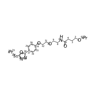 CC(C)OCCCC(=O)NCCOCCOc1ccc(-c2nnc(SC(C)C)o2)cc1